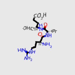 CC(C)[C@H](NC(=O)[C@@H](N)CCCNC(=N)N)C(=O)N[C@H]([C]=O)CCC(=O)O